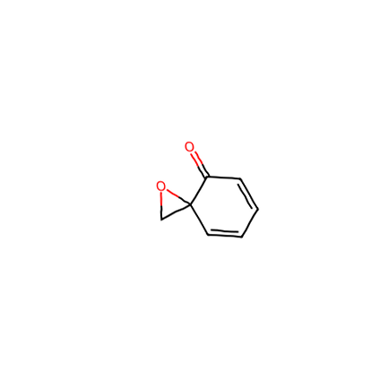 O=C1C=CC=CC12CO2